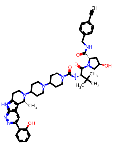 C#Cc1ccc(CNC(=O)[C@@H]2C[C@@H](O)CN2C(=O)[C@@H](NC(=O)N2CCC(N3CCC(N4CCc5[nH]c6nnc(-c7ccccc7O)cc6c5[C@H]4C)CC3)CC2)C(C)(C)C)cc1